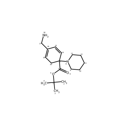 CC(C)(C)OC(=O)C1(N2CCCCC2)C=CC(CN)=CC1